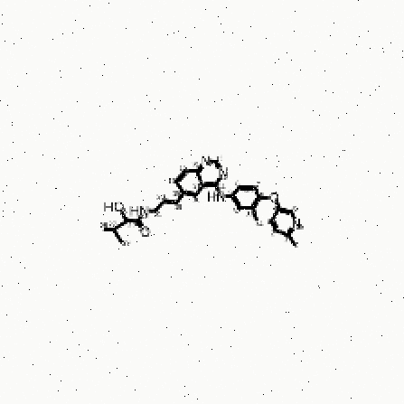 Cc1ccc(Oc2ccc(Nc3ncnc4ccc(C=CCNC(=O)C(O)C(C)C)cc34)cc2C)cn1